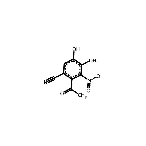 CC(=O)c1c(C#N)cc(O)c(O)c1[N+](=O)[O-]